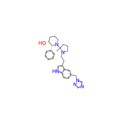 CC1(N2CCC[C@@H](O)[C@H]2c2ccccc2)CCCN1CCc1c[nH]c2ccc(Cn3cncn3)cc12